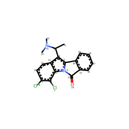 CC(c1c2n(c3c(Cl)c(Cl)ccc13)C(=O)c1ccccc1-2)N(C)C